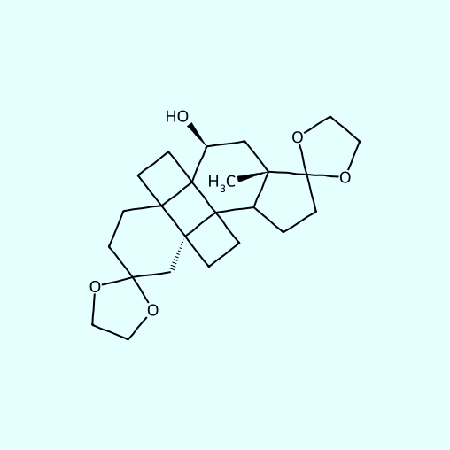 C[C@]12C[C@H](O)C34CCC35CCC3(C[C@]56CCC46C1CCC21OCCO1)OCCO3